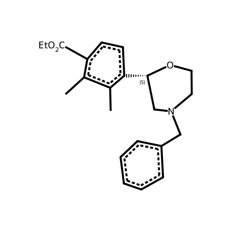 CCOC(=O)c1ccc([C@H]2CN(Cc3ccccc3)CCO2)c(C)c1C